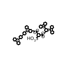 O=C(OCc1cc(-n2c3ccccc3c3ccccc32)cc(-n2c3ccccc3c3ccccc32)c1)c1cc(C(=O)OCc2ccc3c(c2)c2ccccc2n3-c2ccc(-c3ccc(-n4c5ccccc5c5ccccc54)cc3)cc2)cc(S(=O)(=O)O)c1